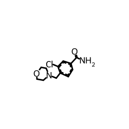 NC(=O)c1ccc(CN2CCOCC2)c(Cl)c1